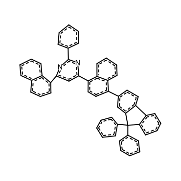 c1ccc(-c2nc(-c3cccc4ccccc34)cc(-c3ccc(-c4ccc5c(c4)C(c4ccccc4)(c4ccccc4)c4ccccc4-5)c4ccccc34)n2)cc1